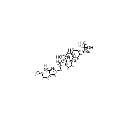 C=N/C=C\c1cn(CC(=O)[C@H]2CC[C@H]3[C@@H]4CC[C@@H](CC(C)(O)CCCC)C[C@H]4C[C@@H](O)[C@]23C)nc1C